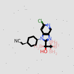 BC(B)(B)C(B)(O)c1nc2cnc(Cl)cc2n1[C@H]1CC[C@H](CC#N)CC1